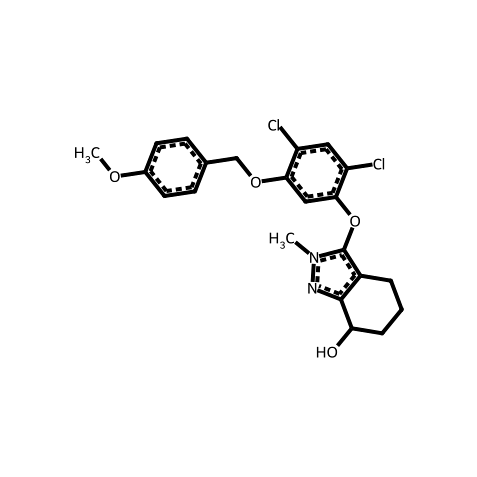 COc1ccc(COc2cc(Oc3c4c(nn3C)C(O)CCC4)c(Cl)cc2Cl)cc1